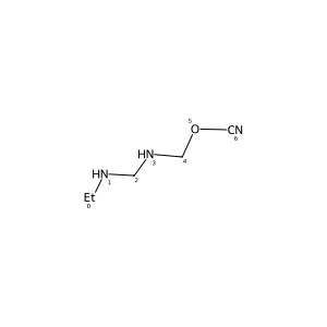 CCNCNCOC#N